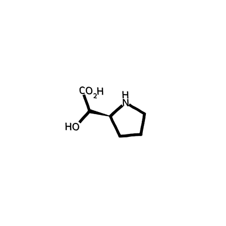 O=C(O)C(O)[C@@H]1CCCN1